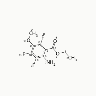 CCOC(=O)c1c(N)c(F)c(F)c(OC)c1F